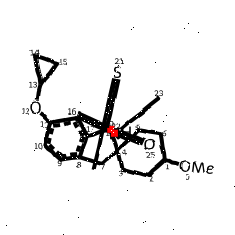 COC1CCC2(CC1)Cc1ccc(OC3CC3)cc1C21NC(=S)N(C)C1=O